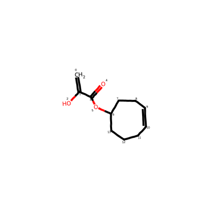 C=C(O)C(=O)OC1CCC=CCCC1